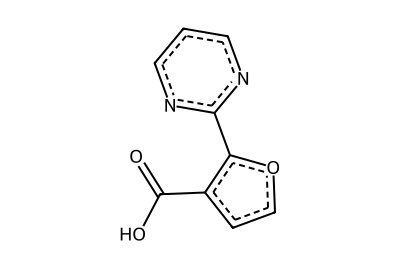 O=C(O)c1ccoc1-c1ncccn1